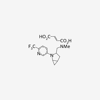 CNCC1CC2CC2N1c1ccc(C(F)(F)F)nc1.O=C(O)C=CC(=O)O